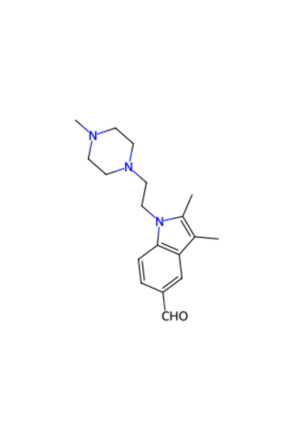 Cc1c(C)n(CCN2CCN(C)CC2)c2ccc(C=O)cc12